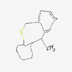 CC1c2ccccc2CSC2CCCC21